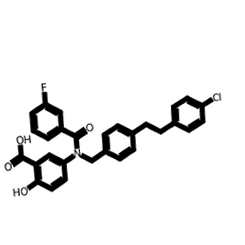 O=C(O)c1cc(N(Cc2ccc(CCc3ccc(Cl)cc3)cc2)C(=O)c2cccc(F)c2)ccc1O